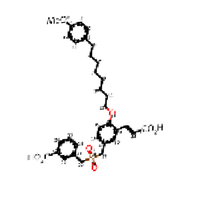 COc1ccc(CCCCCCCCOc2ccc(CS(=O)(=O)Cc3cccc(C(=O)O)c3)cc2/C=C/C(=O)O)cc1